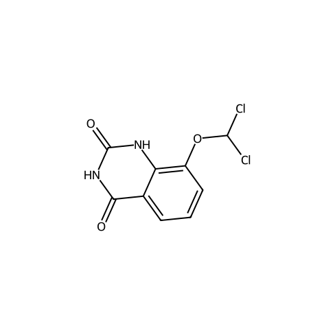 O=c1[nH]c(=O)c2cccc(OC(Cl)Cl)c2[nH]1